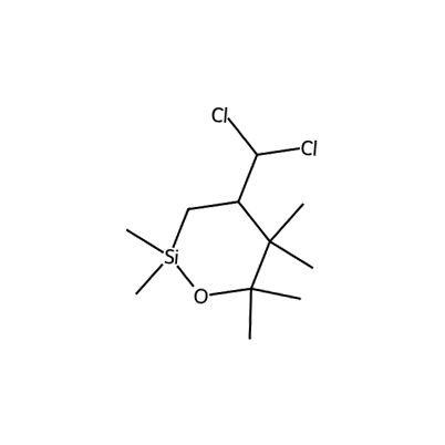 CC1(C)O[Si](C)(C)CC(C(Cl)Cl)C1(C)C